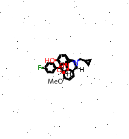 CO[C@]12C=C[C@@]3(C[C@]1(C)[C@H](O)c1ccc(F)cc1)[C@H]1Cc4ccc(O)c5c4[C@@]3(CCN1CC1CC1)[C@H]2O5